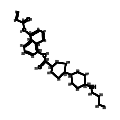 C=CC(=O)Oc1cccc2c(OC(=O)C3CCC(C4CCC(NCCCC)CC4)CC3)cccc12